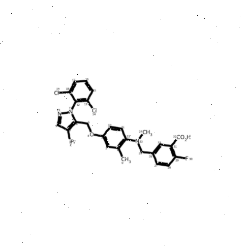 Cc1cc(OCc2c(C(C)C)cnn2-c2c(Cl)cccc2Cl)ccc1N(C)Cc1ccc(F)c(C(=O)O)c1